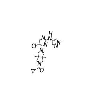 Cn1cc(Nc2ncc(Cl)c(N3C[C@]4(C)CN(C(=O)C5CC5)C[C@]4(C)C3)n2)cn1